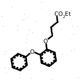 CCOC(=O)CCCOc1ccccc1Oc1ccccc1